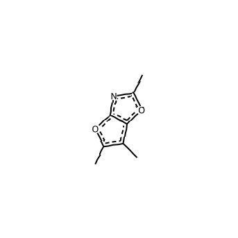 Cc1nc2oc(C)c(C)c2o1